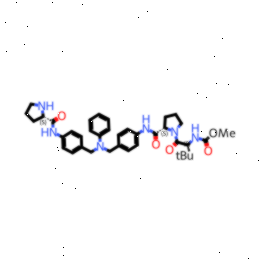 COC(=O)N[C@H](C(=O)N1CCC[C@H]1C(=O)Nc1ccc(CN(Cc2ccc(NC(=O)[C@@H]3CCCN3)cc2)c2ccccc2)cc1)C(C)(C)C